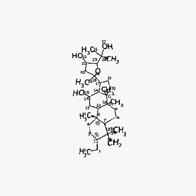 CC[C@H]1CC[C@@]2(C)C(CCC3(C)C2CC(O)C2C(C4(C)CC(O)C(C(C)(C)O)O4)CCC23C)C1(C)C